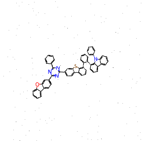 c1ccc(-c2nc(-c3ccc4c(c3)oc3ccccc34)nc(-c3ccc4c(c3)sc3c(-c5ccccc5-c5cccc6c7ccccc7n(-c7ccccc7)c56)cccc34)n2)cc1